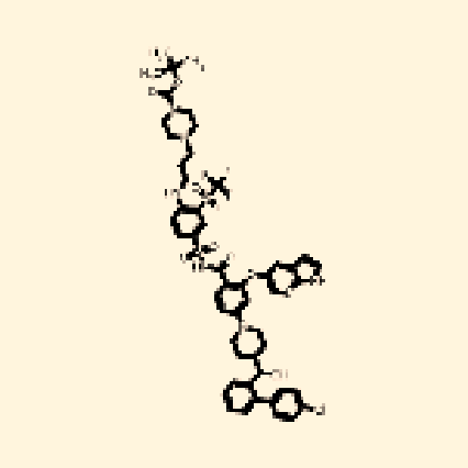 CC(C)(C)OC(=O)N1CCN(CCCNc2ccc(S(=O)(=O)NC(=O)c3ccc(N4CCC([C@@H](O)c5ccccc5-c5ccc(Cl)cc5)CC4)cc3Oc3cnc4[nH]ccc4c3)cc2S(=O)(=O)C(F)(F)F)CC1